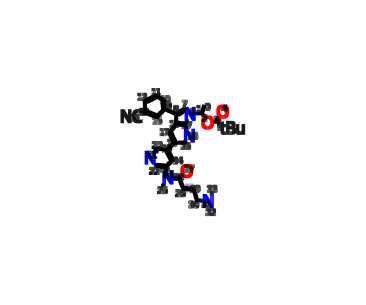 CC(OC(=O)C(C)(C)C)n1cc(-c2cccc(C#N)c2)c2cc(-c3cncc(N(C)C(=O)/C=C/CN(C)C)c3)cnc21